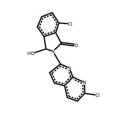 O=C1c2c(Cl)cccc2C(O)N1c1ccc2ccc(Cl)nc2n1